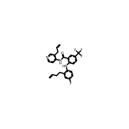 C=CCCc1cc(F)ccc1Nc1ccc(C(F)(F)F)cc1C(=O)Nc1ccncc1CC=C